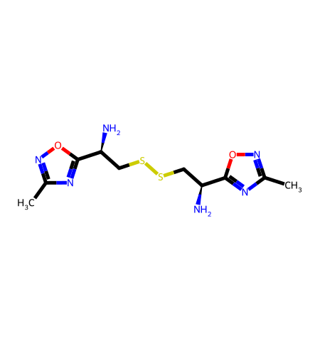 Cc1noc([C@@H](N)CSSC[C@H](N)c2nc(C)no2)n1